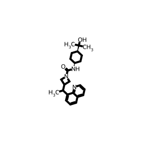 CC(c1cccc2cccnc12)C1CN(C(=O)N[C@H]2CC[C@H](C(C)(C)O)CC2)C1